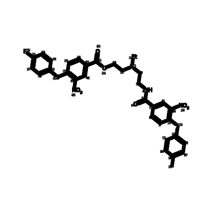 CCN(CCNC(=O)c1ccc(Sc2ccc(C)cc2)c([N+](=O)[O-])c1)CCOC(=O)c1ccc(Sc2ccc(F)cc2)c([N+](=O)[O-])c1